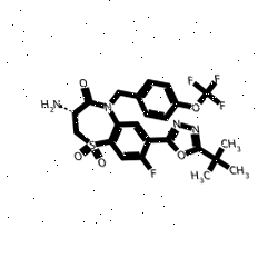 CC(C)(C)c1nnc(-c2cc3c(cc2F)S(=O)(=O)C[C@H](N)C(=O)N3Cc2ccc(OC(F)(F)F)cc2)o1